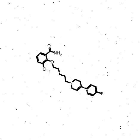 Cc1cccc(C(N)=O)c1OCCCCCN1CC=C(c2ccc(F)cc2)CC1